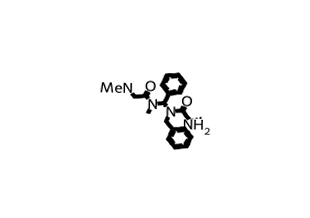 CNCC(=O)N(C)[C](c1ccccc1)N(Cc1ccccc1)C(=O)[C@H](C)N